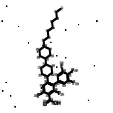 CCCCCCCCC1CCC(C2CCC(c3cc(F)c(C(=O)O)c(F)c3-c3cc(F)c(F)c(F)c3)CC2)CC1